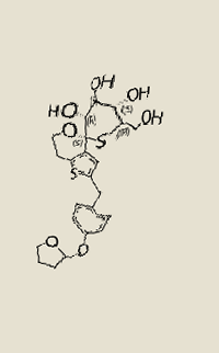 OC[C@H]1S[C@]2(OCCc3sc(Cc4ccc(OC5CCCO5)cc4)cc32)[C@H](O)[C@@H](O)[C@@H]1O